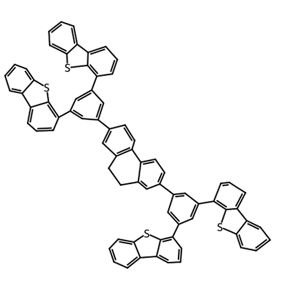 c1ccc2c(c1)sc1c(-c3cc(-c4ccc5c(c4)CCc4cc(-c6cc(-c7cccc8c7sc7ccccc78)cc(-c7cccc8c7sc7ccccc78)c6)ccc4-5)cc(-c4cccc5c4sc4ccccc45)c3)cccc12